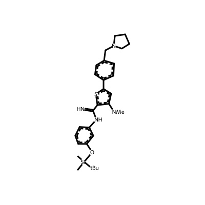 CNc1cc(-c2ccc(CN3CCCC3)cc2)sc1C(=N)Nc1cccc(O[Si](C)(C)C(C)(C)C)c1